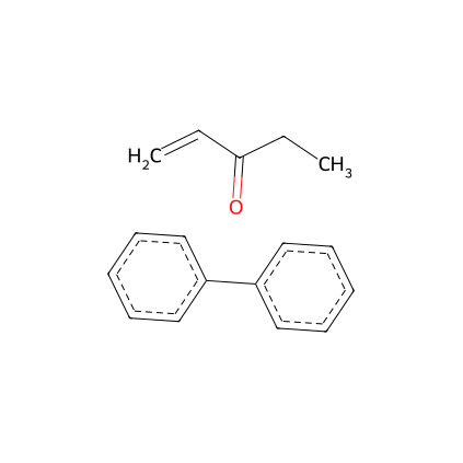 C=CC(=O)CC.c1ccc(-c2ccccc2)cc1